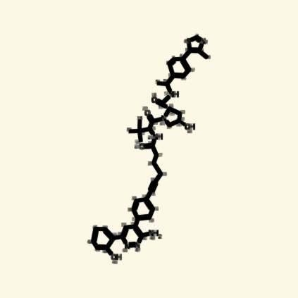 Cc1ncsc1-c1ccc(C(C)NC(=O)[C@@H]2C[C@@H](O)CN2C(=O)C(NC(=O)CCCC#Cc2ccc(-c3cc(-c4ccccc4O)nnc3N)cc2)C(C)(C)C)cc1